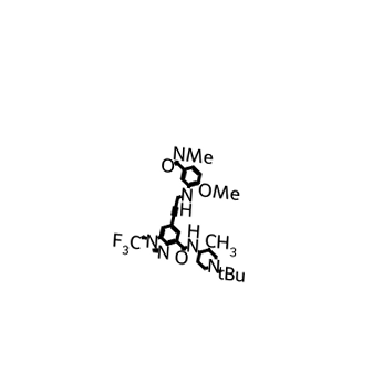 CNC(=O)c1ccc(OC)c(NCC#Cc2cc(C(=O)N[C@H]3CCN(C(C)(C)C)C[C@@H]3C)c3ncn(CC(F)(F)F)c3c2)c1